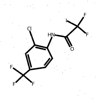 O=C(Nc1ccc(C(F)(F)F)cc1Cl)C(F)(F)I